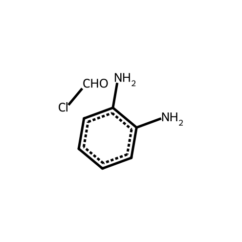 Nc1ccccc1N.O=CCl